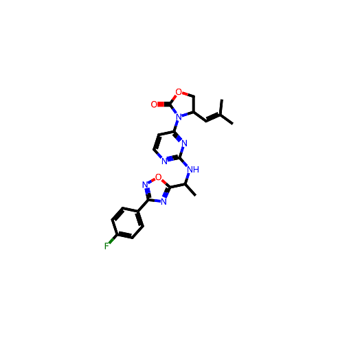 CC(C)=CC1COC(=O)N1c1ccnc(NC(C)c2nc(-c3ccc(F)cc3)no2)n1